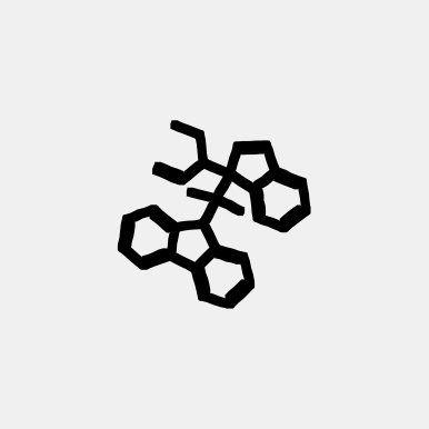 C=CC(CC)C1(C(C)(C)C2c3ccccc3-c3ccccc32)C=Cc2ccccc21